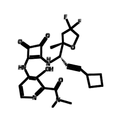 CN(C)C(=O)c1nccc(Nc2c(N[C@@H](C#CC3CCC3)[C@]3(C)CC(F)(F)CO3)c(=O)c2=O)c1O